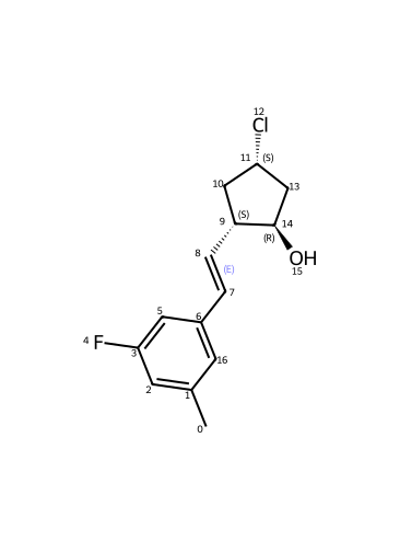 Cc1cc(F)cc(/C=C/[C@@H]2C[C@H](Cl)C[C@H]2O)c1